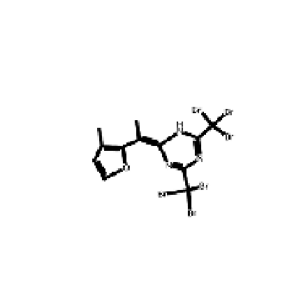 C/C(=C1/N=C(C(Br)(Br)Br)N=C(C(Br)(Br)Br)N1)c1occc1C